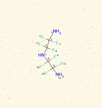 NC(F)(F)C(F)(F)NC(F)(F)C(N)(F)F